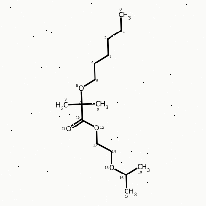 CCCCCCOC(C)(C)C(=O)OCCOC(C)C